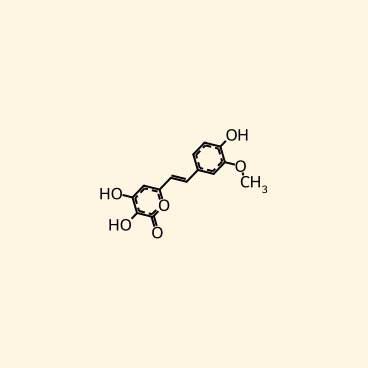 COc1cc(C=Cc2cc(O)c(O)c(=O)o2)ccc1O